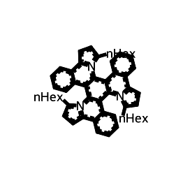 CCCCCCc1ccc2c3ccccc3c3c(c4c5ccccc5c5ccc(CCCCCC)n5c4c4c5ccccc5c5ccc(CCCCCC)n5c34)n12